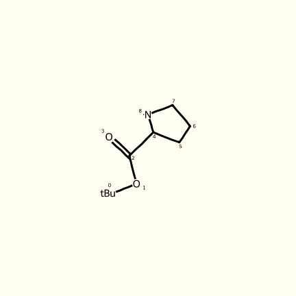 CC(C)(C)OC(=O)C1CCC[N]1